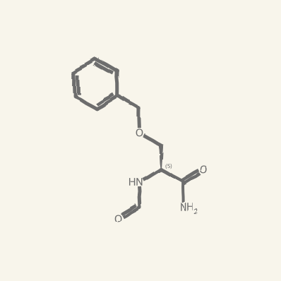 NC(=O)[C@H](COCc1ccccc1)NC=O